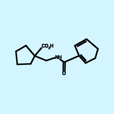 O=C(NCC1(C(=O)O)CCCC1)C1=CCCC=C1